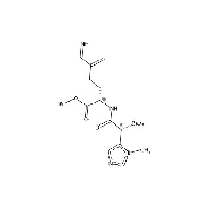 CO[C@@H](C(=O)N[C@@H](CCC(=O)C=N)C(=O)OC(C)C)c1cncn1C